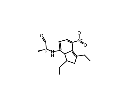 CCC1=C2C([N+](=O)[O-])=CC=C(N[C@@H](C)C=O)C2C(CC)C1